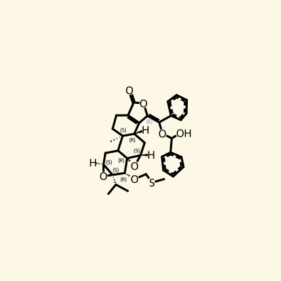 CSCO[C@@H]1[C@@]2(C(C)C)O[C@H]2CC2[C@]13O[C@H]3C[C@H]1C3=C(CC[C@]21C)C(=O)O/C3=C(/OC(O)c1ccccc1)c1ccccc1